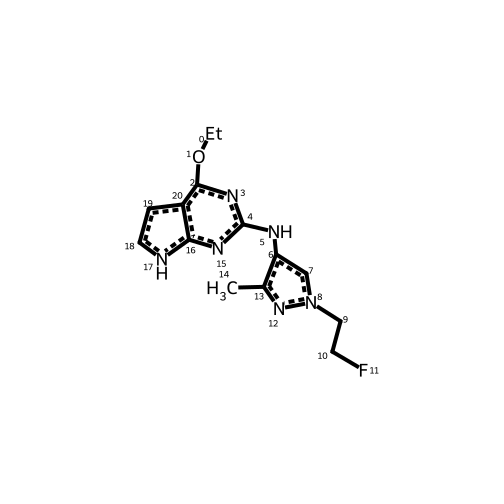 CCOc1nc(Nc2cn(CCF)nc2C)nc2[nH]ccc12